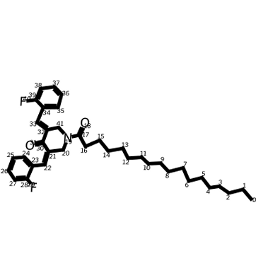 CCCCCCCCCCCCCCCCCC(=O)N1CC(=Cc2ccccc2F)C(=O)C(=Cc2ccccc2F)C1